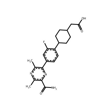 Cc1nc(C)c(-c2ccc(C3CCC(CC(=O)O)CC3)c(F)c2)nc1C(N)=O